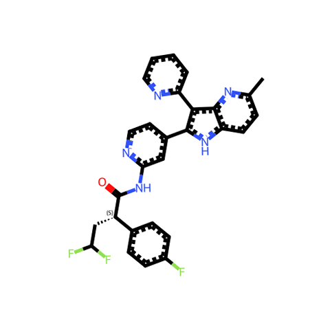 Cc1ccc2[nH]c(-c3ccnc(NC(=O)[C@@H](CC(F)F)c4ccc(F)cc4)c3)c(-c3ccccn3)c2n1